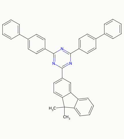 CC1(C)c2ccccc2-c2cc(-c3nc(-c4ccc(-c5ccccc5)cc4)nc(-c4ccc(-c5ccccc5)cc4)n3)ccc21